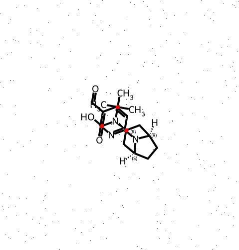 CC(C)(C)N(C(=O)O)[C@H]1C[C@H]2CC[C@@H](C1)N2c1ccc(C=O)cn1